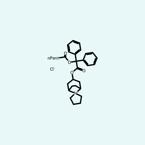 CCCCCC(=O)OC(C(=O)OC1CC2CCC(C1)[N+]21CCCC1)(c1ccccc1)c1ccccc1.[Cl-]